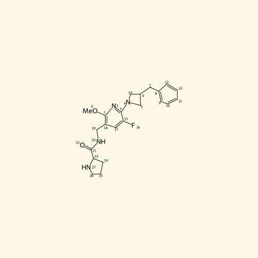 COc1nc(N2CC(Cc3ccccc3)C2)c(F)cc1CNC(=O)C1CCCN1